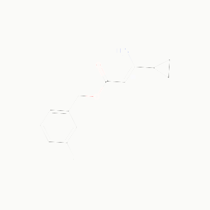 N/C(=C\C(=O)OCc1cccc(Cl)c1)C1CC1